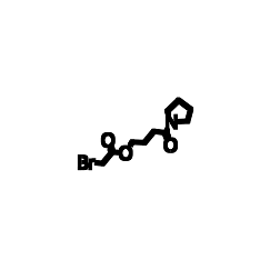 O=C(CBr)OCCCC(=O)N1CCCC1